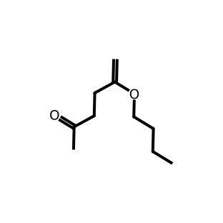 C=C(CCC(C)=O)OCCCC